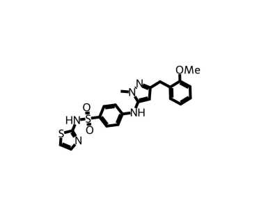 COc1ccccc1Cc1cc(Nc2ccc(S(=O)(=O)Nc3nccs3)cc2)n(C)n1